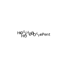 CCCCCCCOOO[CH]C(O)CO